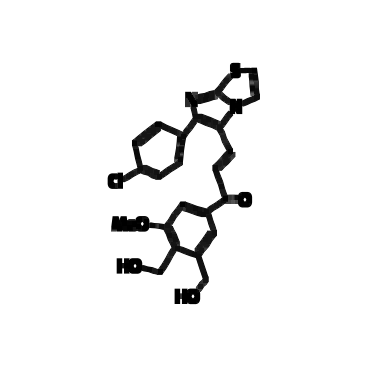 COc1cc(C(=O)/C=C/c2c(-c3ccc(Cl)cc3)nc3sccn23)cc(CO)c1CO